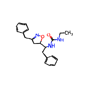 CCNC(=O)NC(Cc1ccccc1)C1CC(Cc2ccccc2)=NO1